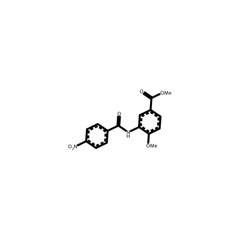 COC(=O)c1ccc(OC)c(NC(=O)c2ccc([N+](=O)[O-])cc2)c1